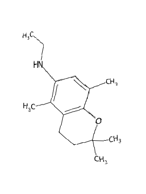 CCNc1cc(C)c2c(c1C)CCC(C)(C)O2